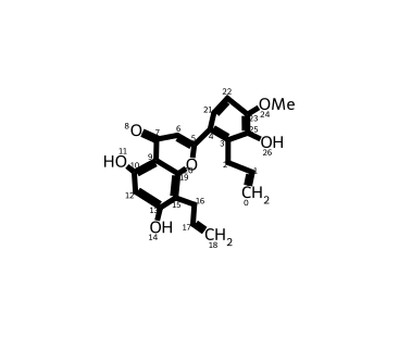 C=CCc1c(-c2cc(=O)c3c(O)cc(O)c(CC=C)c3o2)ccc(OC)c1O